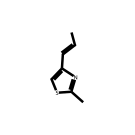 CC=Cc1csc(C)n1